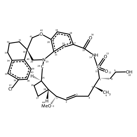 CO[C@H]1/C=C/C[C@H](C)[C@@H](CCO)S(=O)(=O)NC(=O)c2ccc3c(c2)N(C[C@@H]2CC[C@H]21)C[C@@]1(CCCc2cc(Cl)ccc21)CO3